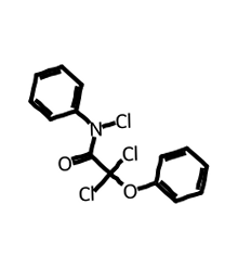 O=C(N(Cl)c1ccccc1)C(Cl)(Cl)Oc1ccccc1